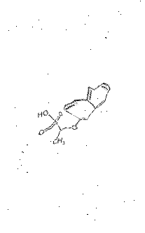 CC(Oc1[c]c2ccccc2cc1)S(=O)(=O)O